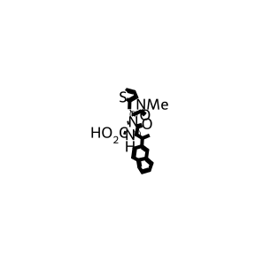 CNC(=O)[C@@H](Cc1cccs1)N(C)C(=O)[C@H](NC(=O)O)C(C)c1ccc2ccccc2c1